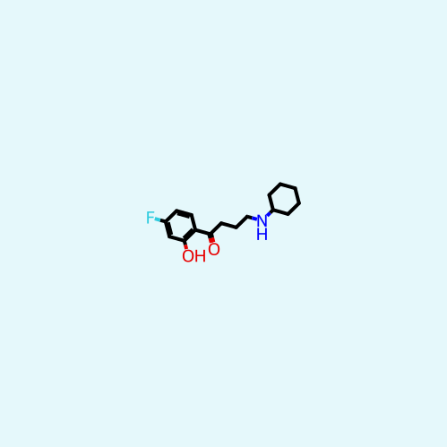 O=C(CCCNC1CCCCC1)c1ccc(F)cc1O